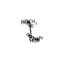 CCCC1(C(O)C/C=C/[C@H]2[C@H](O)CC(=O)[C@@H]2CCCCCCC(=O)OCC(C)(CO)CO)CCC1